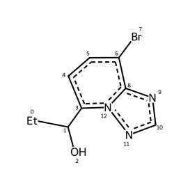 CCC(O)c1ccc(Br)c2ncnn12